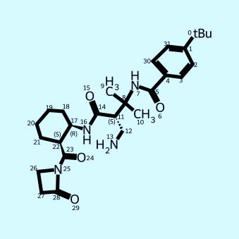 CC(C)(C)c1ccc(C(=O)NC(C)(C)[C@H](CN)C(=O)N[C@@H]2CCCC[C@@H]2C(=O)N2CCC2=O)cc1